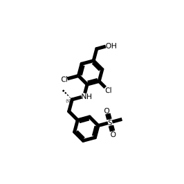 C[C@@H](Cc1cccc(S(C)(=O)=O)c1)Nc1c(Cl)cc(CO)cc1Cl